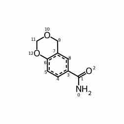 NC(=O)c1ccc2c(c1)COCO2